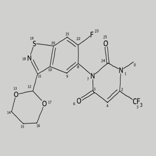 Cn1c(C(F)(F)F)cc(=O)n(-c2cc3c(C4OCCCO4)nsc3cc2F)c1=O